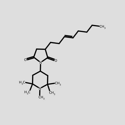 CCCCC=CCCC1CC(=O)N(C2CC(C)(C)N(C)C(C)(C)C2)C1=O